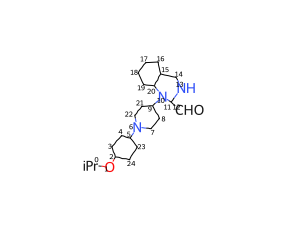 CC(C)OC1CCC(N2CCC(N3C(C=O)NCC4CCCCC43)CC2)CC1